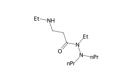 CCCN(CCC)N(CC)C(=O)CCNCC